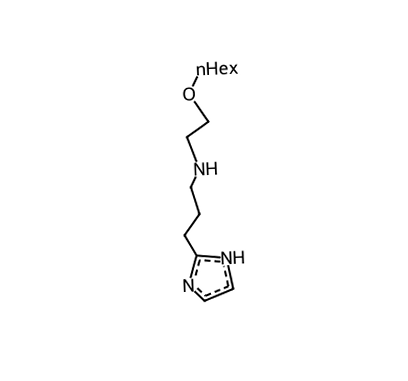 CCCCCCOCCNCCCc1ncc[nH]1